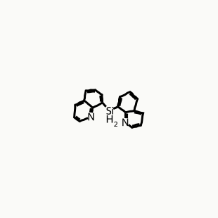 c1cnc2c([SiH2]c3cccc4cccnc34)cccc2c1